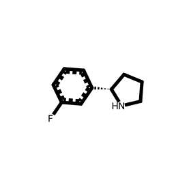 Fc1cccc([C@@H]2CCCN2)c1